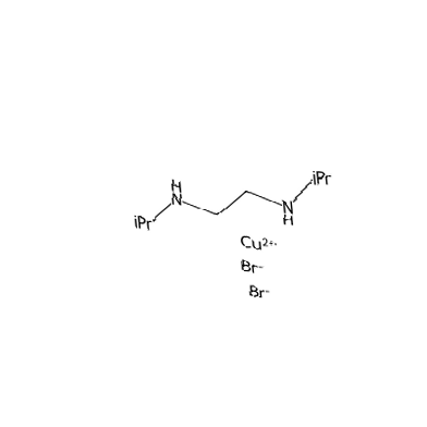 CC(C)NCCNC(C)C.[Br-].[Br-].[Cu+2]